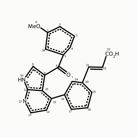 COc1cccc(C(=O)c2c[nH]c3nccc(-c4cccc(C=CC(=O)O)c4)c23)c1